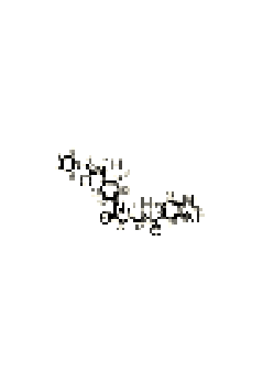 CN(C(=O)CN1CCCC1)c1ccc(N2CC(CNC(=O)c3ccc4nc[nH]c4c3)CC2=O)cc1